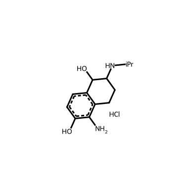 CC(C)NC1CCc2c(ccc(O)c2N)C1O.Cl